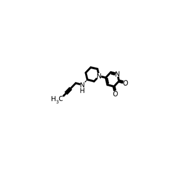 CC#CCN[C@@H]1CCCN(C2=CC(=O)C(=O)N=C2)C1